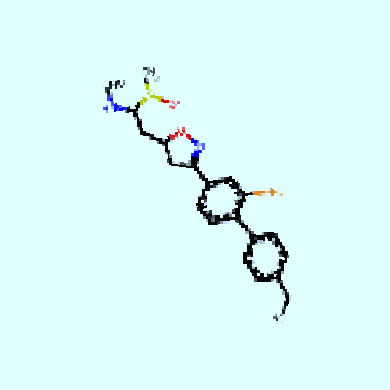 C[S+]([O-])C(CC1CC(c2ccc(-c3ccc(CC#N)cc3)c(P)c2)=NO1)NC=O